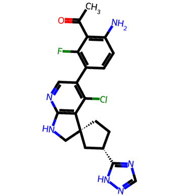 CC(=O)c1c(N)ccc(-c2cnc3c(c2Cl)[C@]2(CC[C@H](c4ncn[nH]4)C2)CN3)c1F